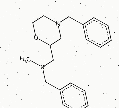 CN(Cc1ccccc1)CC1CN(Cc2ccccc2)CCO1